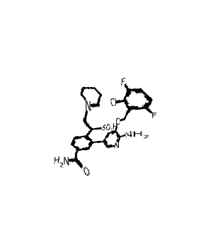 NC(=O)c1ccc(C(CN2CCCCC2)S(=O)(=O)O)c(-c2cnc(N)c(OCc3c(F)ccc(F)c3Cl)c2)c1